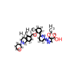 CCOc1c(C(=O)O)cnn1-c1cccc(-c2cccc(C)c2OCc2ccc3c(c2C)CCN(C2CCCOC2)C3)n1